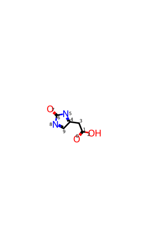 O=C(O)CC1=NC(=O)N=C1